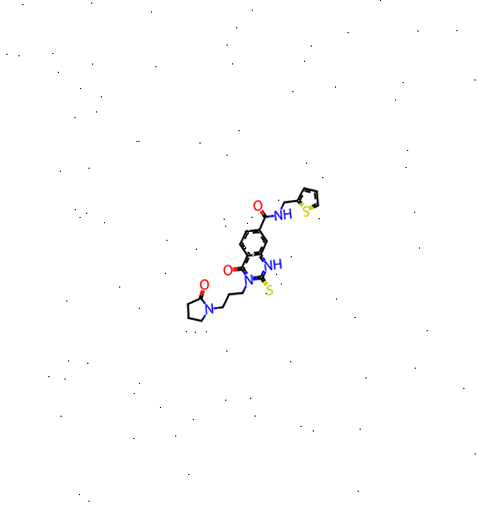 O=C(NCc1cccs1)c1ccc2c(=O)n(CCCN3CCCC3=O)c(=S)[nH]c2c1